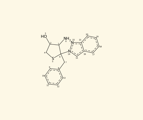 NC1C(O)CSC1(Cc1ccccc1)n1cc2ccccc2n1